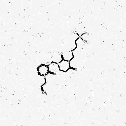 C=CCn1cccc(CN2CCC(=O)N(COCC[Si](C)(C)C)C2=O)c1=O